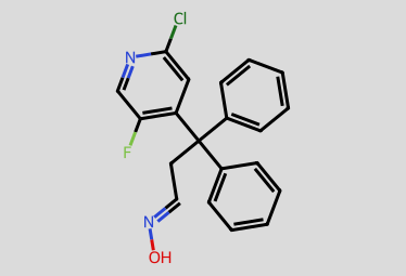 ON=CCC(c1ccccc1)(c1ccccc1)c1cc(Cl)ncc1F